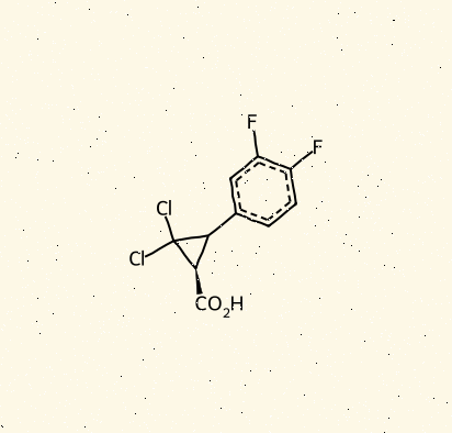 O=C(O)[C@@H]1C(c2ccc(F)c(F)c2)C1(Cl)Cl